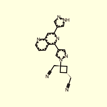 N#CC[C@H]1C[C@@](CC#N)(n2cc(-c3nc(-c4cn[nH]c4)cc4ncccc34)cn2)C1